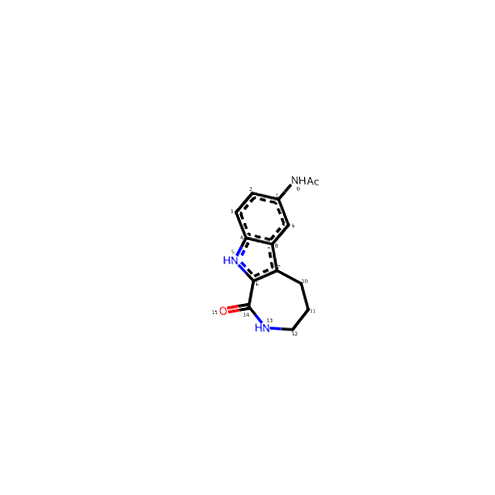 CC(=O)Nc1ccc2[nH]c3c(c2c1)CCCNC3=O